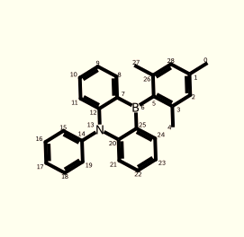 Cc1cc(C)c(B2c3ccccc3N(c3ccccc3)c3ccccc32)c(C)c1